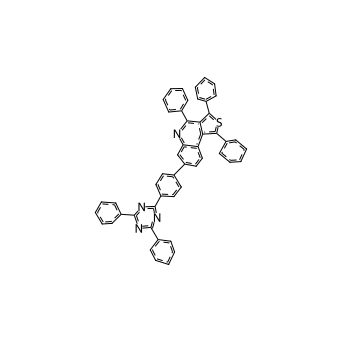 c1ccc(-c2nc(-c3ccccc3)nc(-c3ccc(-c4ccc5c(c4)nc(-c4ccccc4)c4c(-c6ccccc6)sc(-c6ccccc6)c45)cc3)n2)cc1